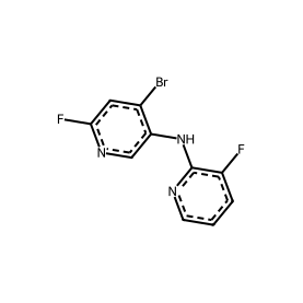 Fc1cc(Br)c(Nc2ncccc2F)cn1